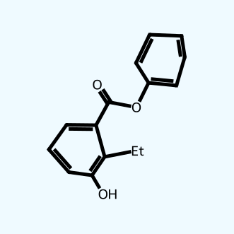 CCc1c(O)cccc1C(=O)Oc1ccccc1